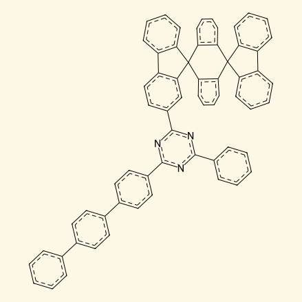 c1ccc(-c2ccc(-c3ccc(-c4nc(-c5ccccc5)nc(-c5ccc6c(c5)C5(c7ccccc7-6)c6ccccc6C6(c7ccccc7-c7ccccc76)c6ccccc65)n4)cc3)cc2)cc1